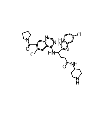 O=C(CCC(Nc1ncnc2cc(C(=O)N3CCCC3)c(Cl)cc12)c1nc2cc(Cl)ccc2[nH]1)NC1CCNCC1